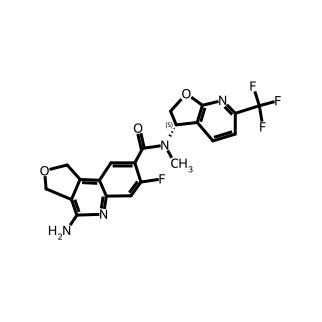 CN(C(=O)c1cc2c3c(c(N)nc2cc1F)COC3)[C@@H]1COc2nc(C(F)(F)F)ccc21